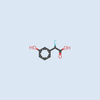 O=C(O)C(F)c1cccc(O)c1